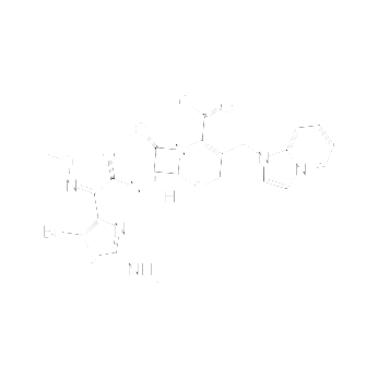 CO/N=C(\C(=O)N[C@@H]1C(=O)N2C(C(=O)[O-])=C(Cn3cc[n+]4ccccc34)CS[C@@H]12)c1nc(N)sc1Br